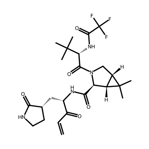 C=CC(=O)[C@H](C[C@@H]1CCNC1=O)NC(=O)[C@@H]1[C@@H]2[C@H](CN1C(=O)[C@@H](NC(=O)C(F)(F)F)C(C)(C)C)C2(C)C